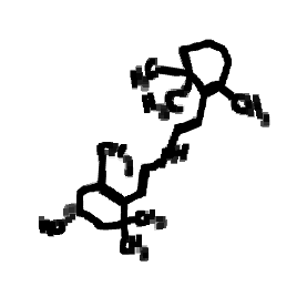 CC1=C(C=CPC=CC2=C(C)C[C@@H](O)CC2(C)C)C(C)(C)CCC1